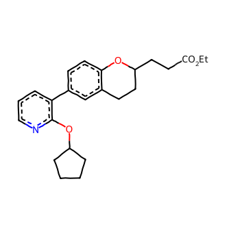 CCOC(=O)CCC1CCc2cc(-c3cccnc3OC3CCCC3)ccc2O1